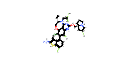 C=C[C@H]1COc2c(Cl)c(-c3ccc(F)c4sc(N)c(C#N)c34)c(F)c3nc(OC[C@@]45CCCN4C[C@H](F)C5)nc(c23)N1CC(F)F